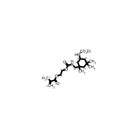 C=C(C)C(=O)OCCOC(=O)NCC1(C)CC(NC(=O)OCC)CC(C)(C)C1